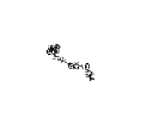 O=C(/C=C/c1ccc(OCCCCCCc2ccc(N3C(=O)C=CC3=O)cc2)cc1)c1ccc(F)cc1